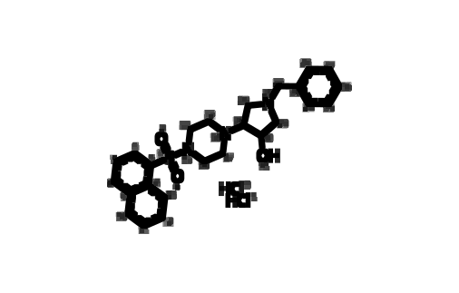 Cl.Cl.O=S(=O)(c1cccc2ccccc12)N1CCN(C2CN(Cc3ccccc3)CC2O)CC1